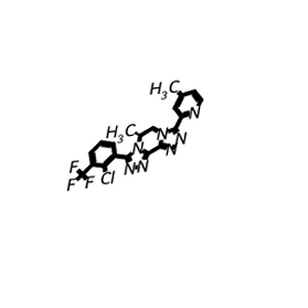 Cc1ccnc(-c2nnc3n2C[C@H](C)n2c(-c4cccc(C(F)(F)F)c4Cl)nnc2-3)c1